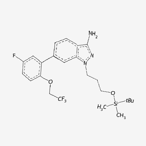 CC(C)(C)[Si](C)(C)OCCCn1nc(N)c2ccc(-c3cc(F)ccc3OCC(F)(F)F)cc21